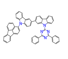 c1ccc(-c2nc(-c3ccccc3)nc(-n3c4ccccc4c4ccc(-c5ccc6c(c5)c5ccccc5n6-c5ccc6c7c(cccc57)-c5ccccc5-6)cc43)n2)cc1